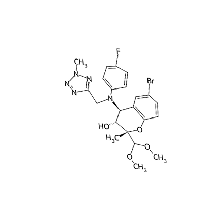 COC(OC)[C@@]1(C)Oc2ccc(Br)cc2[C@H](N(Cc2nnn(C)n2)c2ccc(F)cc2)[C@H]1O